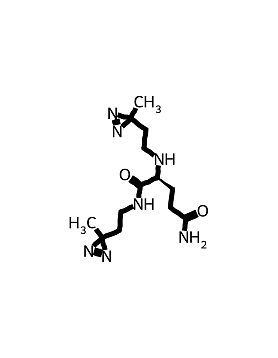 CC1(CCNC(=O)[C@H](CCC(N)=O)NCCC2(C)N=N2)N=N1